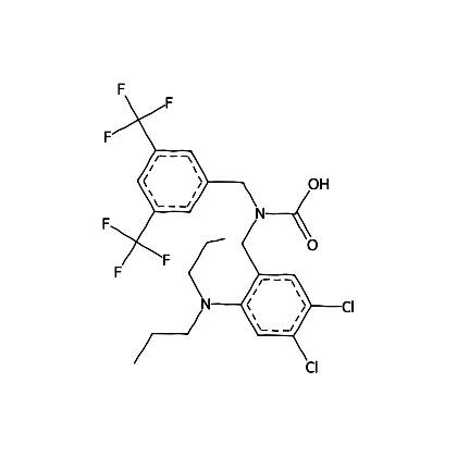 CCCN(CCC)c1cc(Cl)c(Cl)cc1CN(Cc1cc(C(F)(F)F)cc(C(F)(F)F)c1)C(=O)O